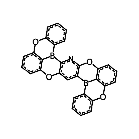 c1ccc2c(c1)Oc1cccc3c1B2c1cc2c(nc1O3)B1c3ccccc3Oc3cccc(c31)O2